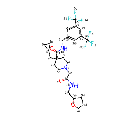 O=C(CN1CCC(CC2CC2)(C(=O)NCc2cc(C(F)(F)F)cc(C(F)(F)F)c2)CC1)NCC1CCCO1